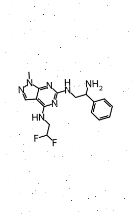 Cn1ncc2c(NCC(F)F)nc(NCC(N)c3ccccc3)nc21